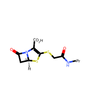 CC(C)NC(=O)CSC1=C(C(=O)O)N2C(=O)C[C@@H]2S1